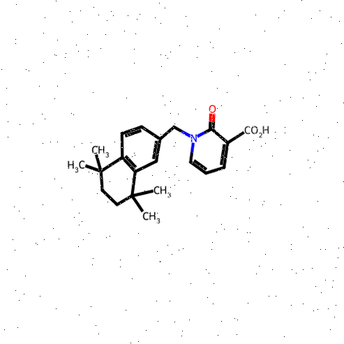 CC1(C)CCC(C)(C)c2cc(Cn3cccc(C(=O)O)c3=O)ccc21